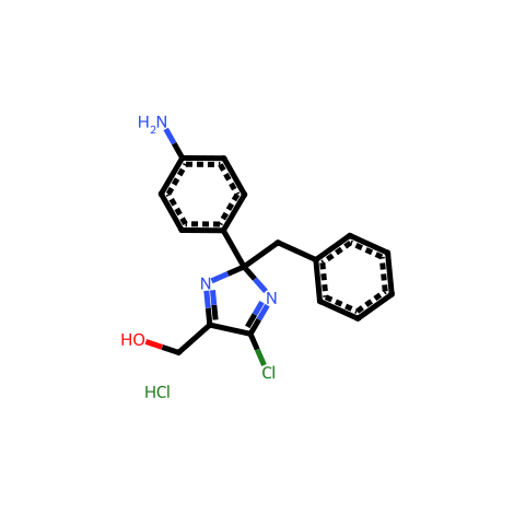 Cl.Nc1ccc(C2(Cc3ccccc3)N=C(Cl)C(CO)=N2)cc1